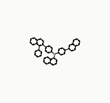 c1ccc(-c2c(-c3ccc(N(c4ccc(-c5ccc6ccccc6c5)cc4)c4cccc5ccccc45)cc3)ccc3ccccc23)cc1